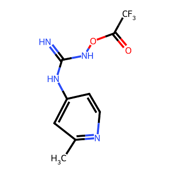 Cc1cc(NC(=N)NOC(=O)C(F)(F)F)ccn1